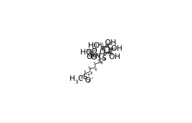 C[S+]([O-])CCCCCCC(=NOS(=O)(=O)O)S[C@@H]1O[C@H](CO)[C@@H](O)[C@H](O)[C@H]1O